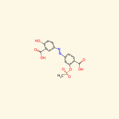 CS(=O)(=O)Oc1cc(N=Nc2ccc(O)c(C(=O)O)c2)ccc1C(=O)O